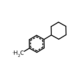 [CH2]c1ccc(C2CCCCC2)cc1